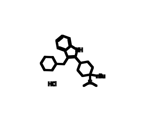 CCCCC1(N(C)C)CCC(c2[nH]c3ccccc3c2CC2CCCCC2)CC1.Cl